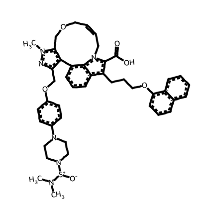 CN(C)[S+]([O-])N1CCN(c2ccc(OCc3nn(C)c4c3-c3cccc5c(CCCOc6cccc7ccccc67)c(C(=O)O)n(c35)C/C=C\COC4)cc2)CC1